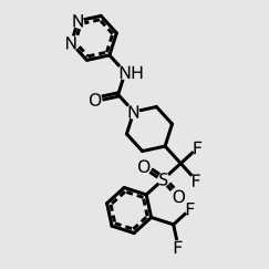 O=C(Nc1ccnnc1)N1CCC(C(F)(F)S(=O)(=O)c2ccccc2C(F)F)CC1